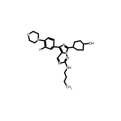 CCCCNc1ncc2c(-c3ccc(N4CCOCC4)c(F)c3)nc(C3CCC(O)CC3)n2n1